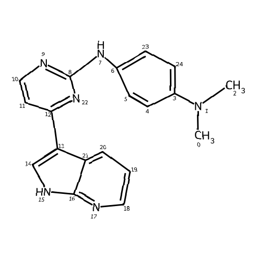 CN(C)c1ccc(Nc2nccc(-c3c[nH]c4ncccc34)n2)cc1